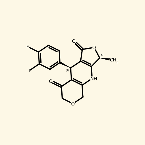 C[C@@H]1OC(=O)C2=C1NC1=C(C(=O)COC1)[C@H]2c1ccc(F)c(I)c1